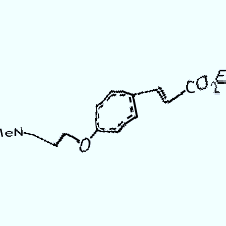 CCOC(=O)/C=C/c1ccc(OCCNC)cc1